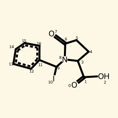 O=C(O)C1CCC(=O)N1C(I)c1ccccc1